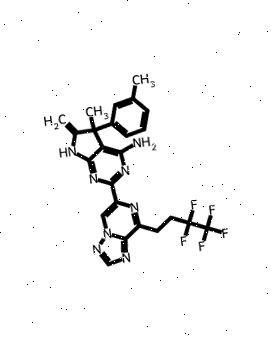 C=C1Nc2nc(-c3cn4ncnc4c(CCC(F)(F)C(F)(F)F)n3)nc(N)c2C1(C)c1cccc(C)c1